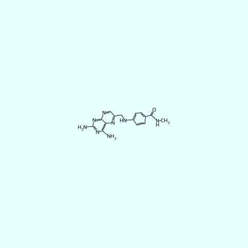 CNC(=O)c1ccc(NCc2cnc3nc(N)nc(N)c3n2)cc1